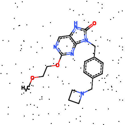 COCCOc1ncc2[nH]c(=O)n(Cc3ccc(CN4CCC4)cc3)c2n1